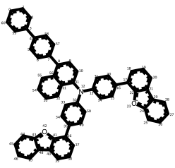 c1ccc(-c2ccc(-c3ccc(N(c4ccc(-c5cccc6c5oc5ccccc56)cc4)c4ccc(-c5cccc6c5oc5ccccc56)cc4)c4ccccc34)cc2)cc1